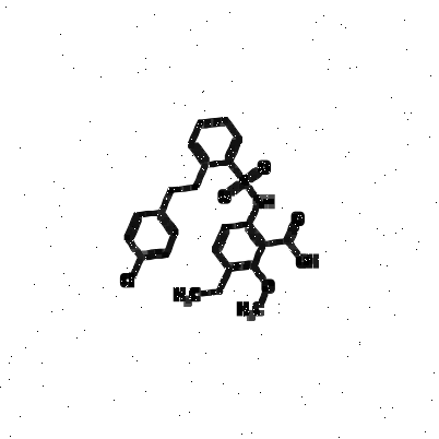 CCc1ccc(NS(=O)(=O)c2ccccc2CCc2ccc(Cl)cc2)c(C(=O)O)c1OC